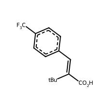 CC(C)(C)/C(=C\c1ccc(C(F)(F)F)cc1)C(=O)O